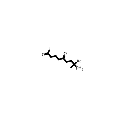 CC(=O)C(C)(P)CCC(=O)CCCC(=O)I